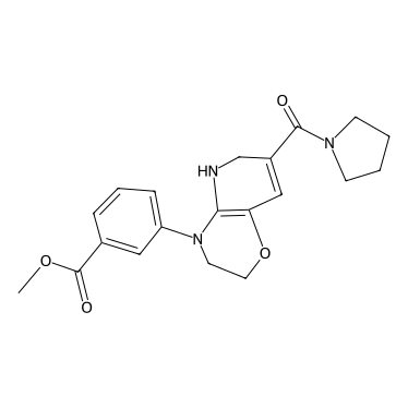 COC(=O)c1cccc(N2CCOC3=C2NCC(C(=O)N2CCCC2)=C3)c1